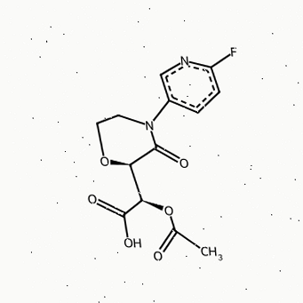 CC(=O)O[C@@H](C(=O)O)[C@H]1OCCN(c2ccc(F)nc2)C1=O